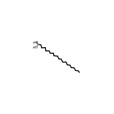 CCCCCCCCCCCCCCCCCCCCB(O)O